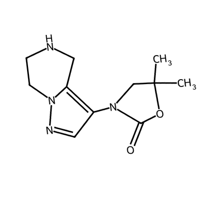 CC1(C)CN(c2cnn3c2CNCC3)C(=O)O1